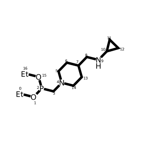 CCOP(CN1CCC(CNC2CC2)CC1)OCC